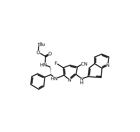 CC(C)(C)OC(=O)NC[C@H](Nc1nc(Nc2ccc3ncccc3c2)c(C#N)cc1F)c1ccccc1